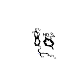 CC(C)(C)c1nc2ccc(OC/C(=C/F)CN)cc2o1.Cc1ccc(S(=O)(=O)O)cc1